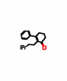 CC(C)CCC1=C(c2ccccc2)CCCC1=O